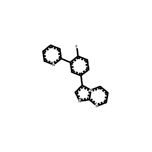 Fc1ccc(-c2cnc3ncccn23)cc1-c1ccccn1